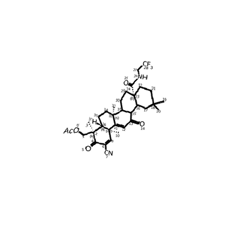 CC(=O)OC[C@]1(C)C(=O)C(C#N)=C[C@]2(C)C3=CC(=O)C4C5CC(C)(C)CC[C@]5(C(=O)NCC(F)(F)F)CCC4[C@]3(C)CC[C@H]21